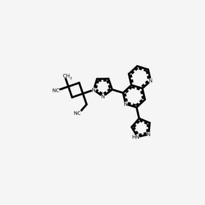 CC1(C#N)CC(CC#N)(n2ccc(-c3nc(-c4cn[nH]c4)cc4ncccc34)n2)C1